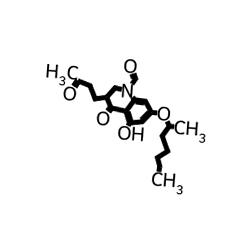 CCCCCC(C)Oc1cc(O)c2c(c1)N(C=O)CC(CCC(C)=O)C2=O